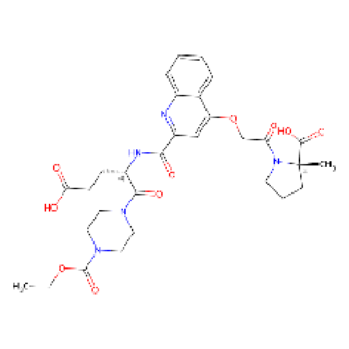 CCOC(=O)N1CCN(C(=O)[C@H](CCC(=O)O)NC(=O)c2cc(OCC(=O)N3CCC[C@@]3(C)C(=O)O)c3ccccc3n2)CC1